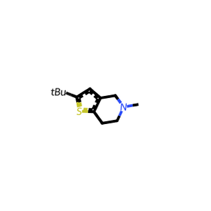 CN1CCc2sc(C(C)(C)C)cc2C1